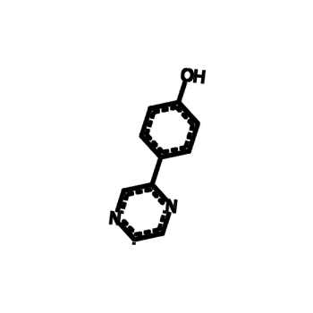 Oc1ccc(-c2cn[c]cn2)cc1